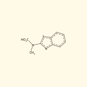 CN(C(=O)O)c1nc2ccccc2s1